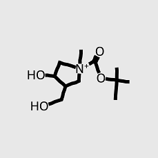 CC(C)(C)OC(=O)[N+]1(C)CC(O)C(CO)C1